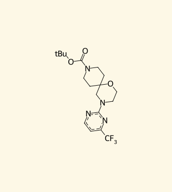 CC(C)(C)OC(=O)N1CCC2(CC1)CN(c1nccc(C(F)(F)F)n1)CCO2